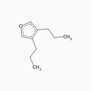 CCCc1[c]occ1CCC